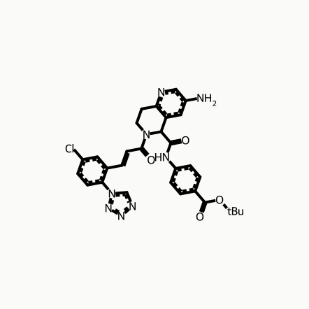 CC(C)(C)OC(=O)c1ccc(NC(=O)C2c3cc(N)cnc3CCN2C(=O)C=Cc2cc(Cl)ccc2-n2cnnn2)cc1